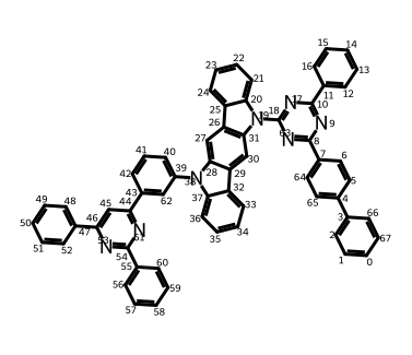 c1ccc(-c2ccc(-c3nc(-c4ccccc4)nc(-n4c5ccccc5c5cc6c(cc54)c4ccccc4n6-c4cccc(-c5cc(-c6ccccc6)nc(-c6ccccc6)n5)c4)n3)cc2)cc1